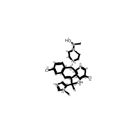 CB(O)N1CCN([C@H]2c3ccc(Cl)cc3C=C(C(C)(O)c3cncn3C)c3cc(Cl)cnc32)CC1